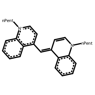 CCCCCN1C=CC(=Cc2cc[n+](CCCCC)c3ccccc23)c2ccccc21